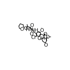 COC1=CC(=O)C[C@@H](C)C1C(=O)c1c(OC)cc(C(=O)NNC(=O)C(C)OC2CCCCO2)c(Cl)c1O